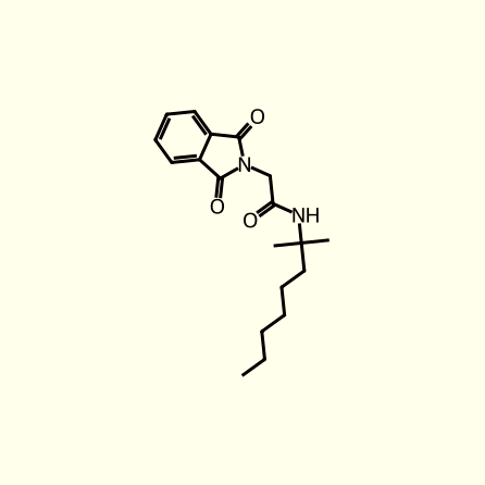 CCCCCCC(C)(C)NC(=O)CN1C(=O)c2ccccc2C1=O